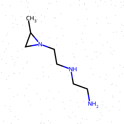 CC1CN1CCNCCN